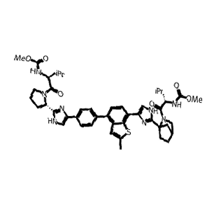 COC(=O)N[C@H](C(=O)N1CCC[C@H]1c1nc(-c2ccc(-c3ccc(-c4c[nH]c(C56CCC(CN5C(=O)[C@@H](NC(=O)OC)C(C)C)C6)n4)c4sc(C)cc34)cc2)c[nH]1)C(C)C